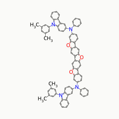 Cc1cc(C)cc(-n2c3ccccc3c3cc(N(c4ccccc4)c4ccc5c(c4)oc4cc6c(cc45)oc4cc5c(cc46)oc4cc(N(c6ccccc6)c6ccc7c(c6)c6ccccc6n7-c6cc(C)cc(C)c6)ccc45)ccc32)c1